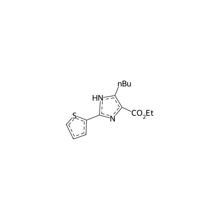 CCCCc1[nH]c(-c2cccs2)nc1C(=O)OCC